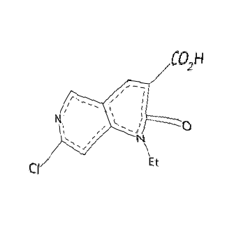 CCn1c(=O)c(C(=O)O)cc2cnc(Cl)cc21